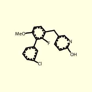 COc1ccc(Cc2ccc(O)nc2)c(F)c1-c1cccc(Cl)c1